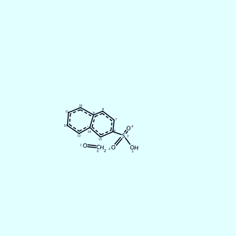 C=O.O=S(=O)(O)c1ccc2ccccc2c1